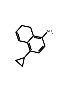 Nc1ccc(C2CC2)c2c1CCC=C2